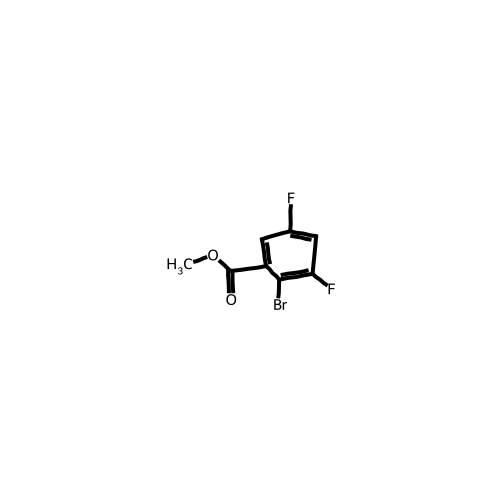 COC(=O)c1cc(F)cc(F)c1Br